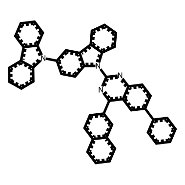 c1ccc(-c2ccc3nc(-n4c5ccccc5c5cc(-n6c7ccccc7c7ccccc76)ccc54)nc(-c4ccc5ccccc5c4)c3c2)cc1